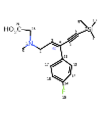 CN(C/C=C(/C#C[Si](C)(C)C)c1ccc(F)cc1)CC(=O)O